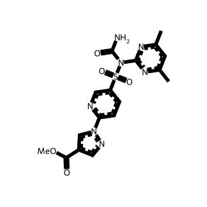 COC(=O)c1cnn(-c2ccc(S(=O)(=O)N(C(N)=O)c3nc(C)cc(C)n3)cn2)c1